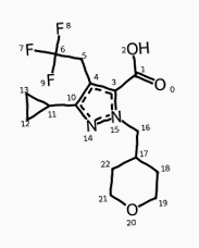 O=C(O)c1c(CC(F)(F)F)c(C2CC2)nn1CC1CCOCC1